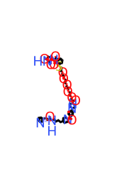 O=C(/C=C/c1cccnc1)NCCCCC1CCN(C(=O)c2ccc(N3CCN(C(=O)COCCOCCOCCOCCOCCSc4cccc5c4C(=O)N(C4CCC(=O)NC4=O)C5=O)CC3)cc2)CC1